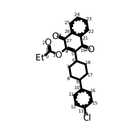 CCC(=O)OC1=C(C2CCC(c3ccc(Cl)cc3)CC2)C(=O)c2ccccc2C1=O